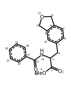 COC(=O)C(Cc1ccc2c(c1)COC2)NC(=O)c1ccccc1